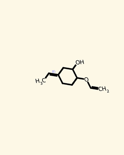 C=COC1CC/C(=C\C)CC1O